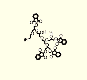 CC(C)CCOCC(CON1C(=O)c2ccccc2C1=O)OCC(O)COCC(COC(COC1C(=O)c2ccccc2C1=O)COC1C(=O)c2ccccc2C1=O)OCC(O)CON1C(=O)c2ccccc2C1=O